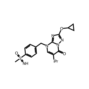 CC(C)c1cn(Cc2ccc(S(C)(=N)=O)cc2)c2nc(OC3CC3)nn2c1=O